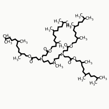 CC(C)CCCC(C)CCCC(C)CCOC(=O)CCN(CCCN(C)CCCN(CCC(=O)OCCC(C)CCCC(C)CCCC(C)C)CCC(=O)OCCC(C)CCCC(C)CCCC(C)C)CCC(=O)OCCC(C)CCCC(C)CCCC(C)C